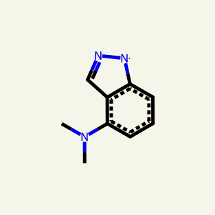 CN(C)c1cccc2c1C=N[N]2